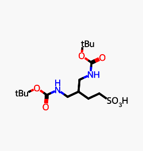 CC(C)(C)OC(=O)NCC(CCS(=O)(=O)O)CNC(=O)OC(C)(C)C